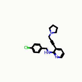 Clc1ccc(CNc2ncccc2C#CCN2CCCC2)cc1